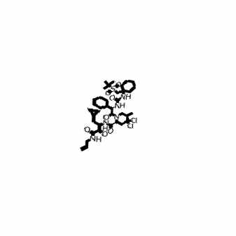 C=CCNC(=O)C(=O)C(CC1CC1)NC(=O)[C@@H]1CC(Cl)(Cl)C(C)CN1C(=O)[C@@H](NC(=O)NC1(CS(=O)(=O)C(C)(C)C)CCCCC1)C1CCCCC1